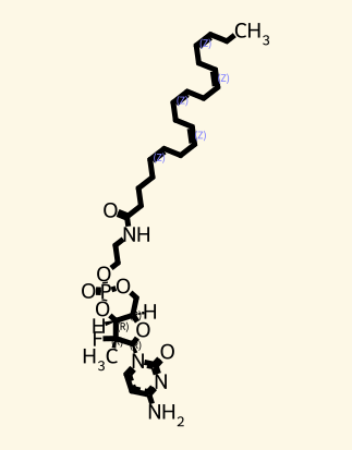 CC/C=C\C/C=C\C/C=C\C/C=C\C/C=C\CCCC(=O)NCCOP1(=O)OC[C@H]2O[C@@H](n3ccc(N)nc3=O)[C@](C)(F)[C@@H]2O1